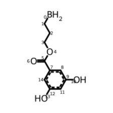 BCCCOC(=O)c1cc(O)cc(O)c1